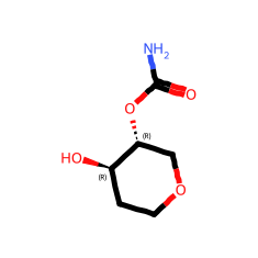 NC(=O)O[C@@H]1COCC[C@H]1O